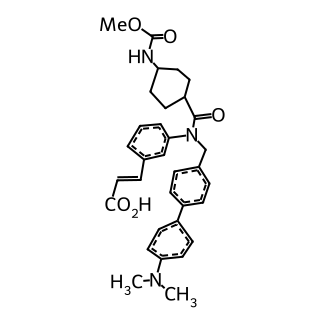 COC(=O)NC1CCC(C(=O)N(Cc2ccc(-c3ccc(N(C)C)cc3)cc2)c2cccc(C=CC(=O)O)c2)CC1